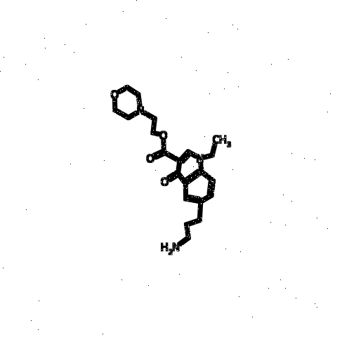 CCn1cc(C(=O)OCCN2CCOCC2)c(=O)c2cc(CCCN)ccc21